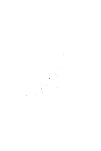 O=C(O)N1CC[C@H](CN(C2CCCCC2)C2CCCCC2)C1